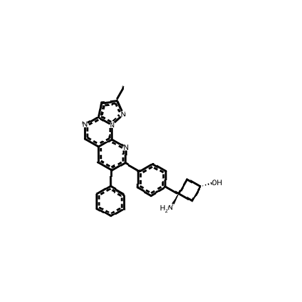 Cc1cc2ncc3cc(-c4ccccc4)c(-c4ccc([C@]5(N)C[C@H](O)C5)cc4)nc3n2n1